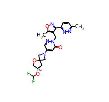 Cc1ccc(-c2noc(C)c2Cn2ncc(N3CC4(C[C@H](OC(F)F)CO4)C3)cc2=O)nn1